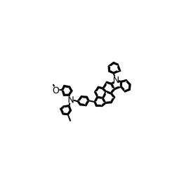 COc1cccc(N(c2ccc(-c3ccc4ccc5c6c(ccc3c46)cc3c5c4ccccc4n3-c3ccccc3)cc2)c2cccc(C)c2)c1